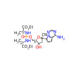 CCOC(=O)[C@H](C)NP(=O)(N[C@@H](C)C(=O)OCC)OC[C@H]1O[C@@](C#N)(c2ccc3c(N)ncnn23)C[C@@H]1O